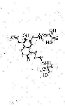 C=CCc1cc2c(c(CC=C)c1O)CCC(=O)N2CCCCNC(C)(C)CO.O=C(O)C(=O)O